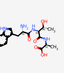 C[C@H](NC(=O)[C@@H](NC(=O)[C@@H](N)Cc1c[nH]c2ccccc12)[C@@H](C)O)C(=O)O